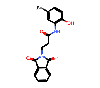 CC(C)(C)c1ccc(O)c(NC(=O)CCN2C(=O)c3ccccc3C2=O)c1